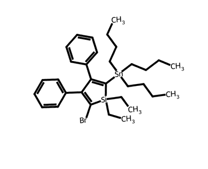 CCC[CH2][Sn]([CH2]CCC)([CH2]CCC)[C]1=C(c2ccccc2)C(c2ccccc2)=C(Br)[Si]1(CC)CC